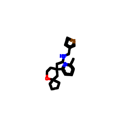 Cc1cccc(C2(CCNCc3ccsc3)CCOC3(CCCC3)C2)n1